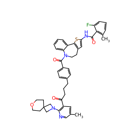 Cc1cnc(N2CC3(CCOCC3)C2)c(C(=O)CCCc2ccc(C(=O)N3CCc4cc(NC(=O)c5c(C)cccc5F)sc4-c4ccccc43)cc2)c1